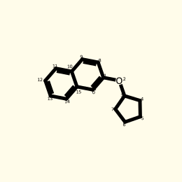 [c]1c(OC2CCCC2)ccc2ccccc12